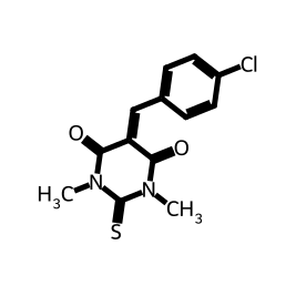 CN1C(=O)C(=Cc2ccc(Cl)cc2)C(=O)N(C)C1=S